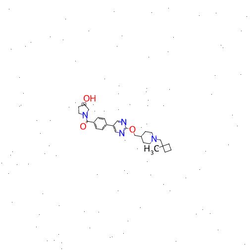 CC1(CN2CCC(COc3ncc(-c4ccc(C(=O)N5CC[C@H](O)C5)cc4)cn3)CC2)CCC1